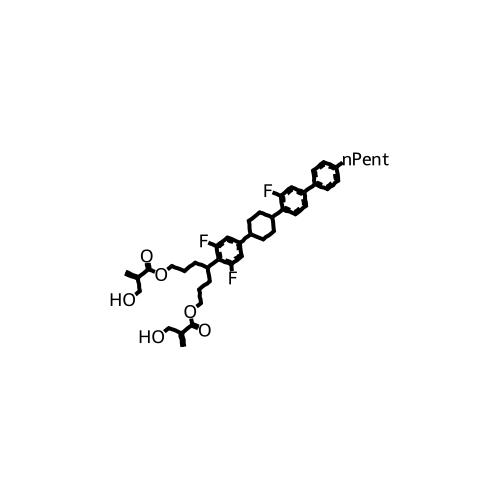 C=C(CO)C(=O)OCCCC(CCCOC(=O)C(=C)CO)c1c(F)cc(C2CCC(c3ccc(-c4ccc(CCCCC)cc4)cc3F)CC2)cc1F